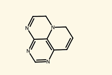 C1=Cc2ncnc3c2N(C1)CC=N3